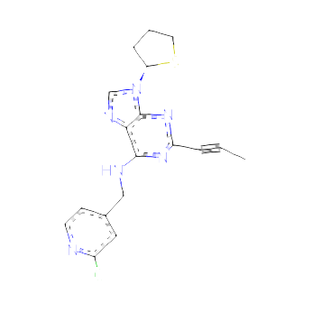 CC#Cc1nc(NCc2ccnc(Cl)c2)c2ncn([C@H]3CCCS3)c2n1